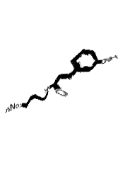 CCCCCCCCCCCCNC(=O)C=Cc1cccc(O)c1